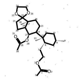 CC(=O)OCC[C@H]1C[C@@H](C)CC[C@]1(C)C1CC[C@@]2(C)C(CCC23OCCO3)[C@@H]1OC(C)=O